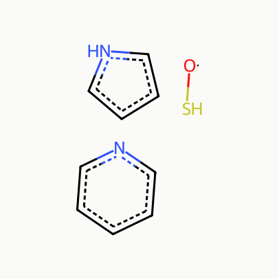 [O]S.c1cc[nH]c1.c1ccncc1